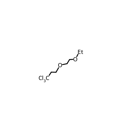 [CH2]COCCOCCC(Cl)(Cl)Cl